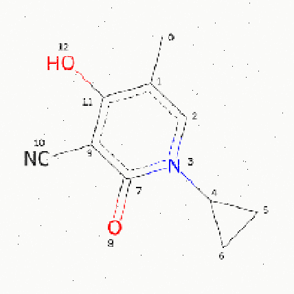 Cc1cn(C2CC2)c(=O)c(C#N)c1O